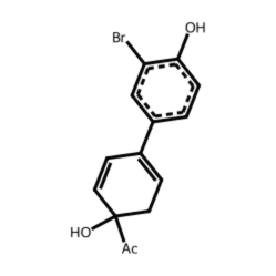 CC(=O)C1(O)C=CC(c2ccc(O)c(Br)c2)=CC1